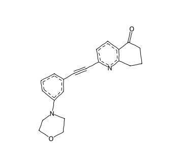 O=C1CCCc2nc(C#Cc3cccc(N4CCOCC4)c3)ccc21